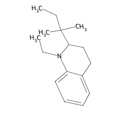 CCN1c2ccccc2CCC1C(C)(C)CC